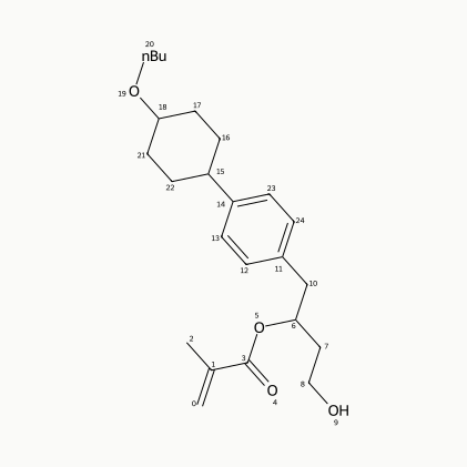 C=C(C)C(=O)OC(CCO)Cc1ccc(C2CCC(OCCCC)CC2)cc1